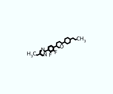 CCCC1CCC(C2CCC(c3ccc(-c4ncc(CC)cn4)c(F)c3F)CO2)CC1